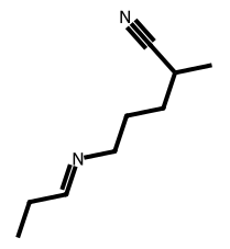 CCC=NCCCC(C)C#N